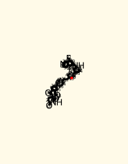 O=C1CCC(N2C(=O)c3ccc(N4CCN(CCC5CCN(c6ccnc(Nc7cc(F)c8cnccc8c7)c6F)CC5)CC4)cc3C2=O)C(=O)N1